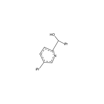 CC(C)c1ccc(C(O)C(C)C)nc1